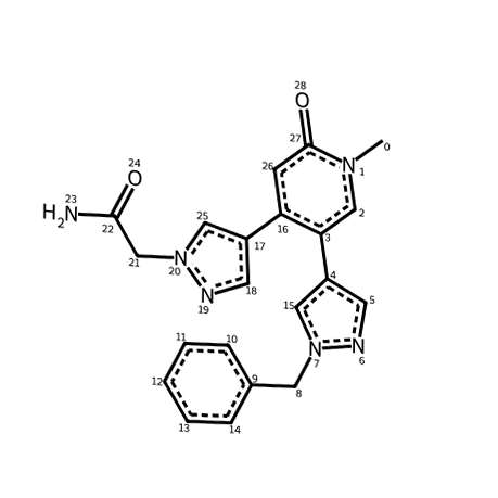 Cn1cc(-c2cnn(Cc3ccccc3)c2)c(-c2cnn(CC(N)=O)c2)cc1=O